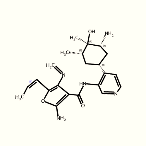 C=Nc1c(/C=C\C)oc(N)c1C(=O)Nc1cnccc1[C@H]1C[C@@H](N)[C@](C)(O)[C@@H](C)C1